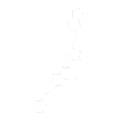 COc1cc(OCc2ccccn2)ccc1C=Cc1cc(C=Cc2ccc3cc[nH]c3c2)nn1C(C)(C)C